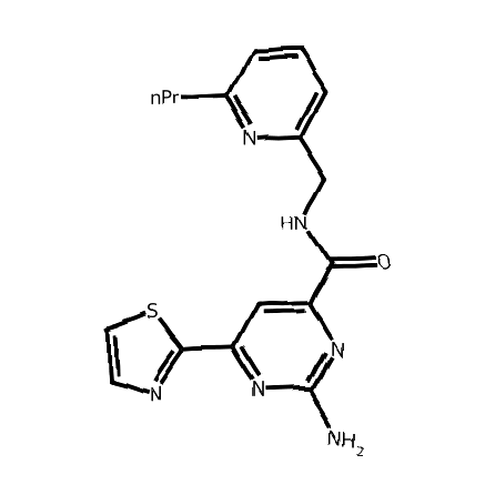 CCCc1cccc(CNC(=O)c2cc(-c3nccs3)nc(N)n2)n1